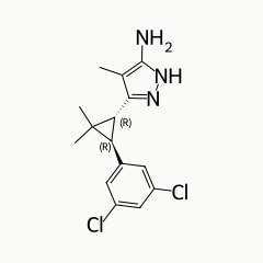 Cc1c([C@@H]2[C@@H](c3cc(Cl)cc(Cl)c3)C2(C)C)n[nH]c1N